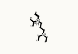 C=C[SiH](CCCN(CC)CC)C(C)C